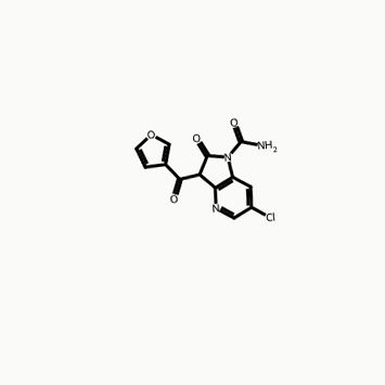 NC(=O)N1C(=O)C(C(=O)c2ccoc2)c2ncc(Cl)cc21